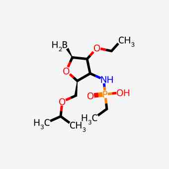 B[C@@H]1O[C@H](COC(C)C)C(NP(=O)(O)CC)C1OCC